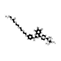 CCOC(=O)COCCOCCOCCOc1ccc(Nc2nc(N3CCN(C(=O)OC(C)(C)C)CC3)c3cc(Cl)c(Br)c(F)c3n2)cc1